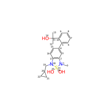 CN1c2cc(-c3ccccc3C(C)(C)O)ccc2N(CC2CC2)S1(O)O